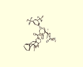 CN1N=C2CCN(C(=O)[C@@H](COc3cc(C(F)(F)F)cc(C(F)(F)F)c3)NC(=O)C(C)(C)OC(N)=O)C[C@@]2(Cc2ccccc2)C1=O